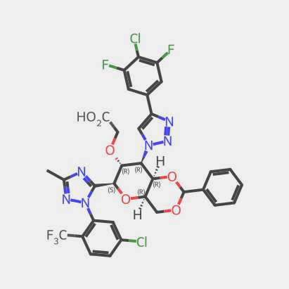 Cc1nc([C@@H]2O[C@@H]3COC(c4ccccc4)O[C@@H]3[C@H](n3cc(-c4cc(F)c(Cl)c(F)c4)nn3)[C@H]2OCC(=O)O)n(-c2cc(Cl)ccc2C(F)(F)F)n1